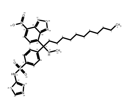 CCCCCCCCCCCC(NC)(c1ccc(S(=O)(=O)Nc2nncs2)cc1)c1ccc([N+](=O)[O-])c2nonc12